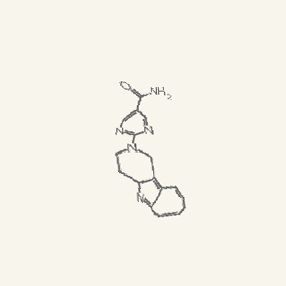 NC(=O)c1cnc(N2CCC3N=c4ccccc4=C3C2)nc1